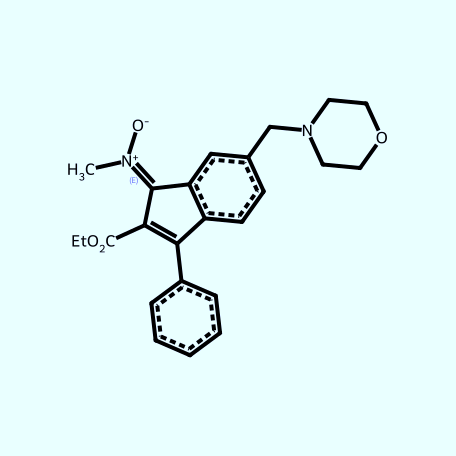 CCOC(=O)C1=C(c2ccccc2)c2ccc(CN3CCOCC3)cc2/C1=[N+](/C)[O-]